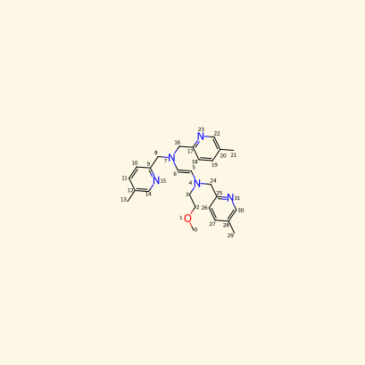 COCCN(/C=C/N(Cc1ccc(C)cn1)Cc1ccc(C)cn1)Cc1ccc(C)cn1